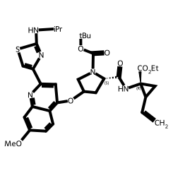 C=CC1C[C@]1(NC(=O)[C@@H]1CC(Oc2cc(-c3csc(NC(C)C)n3)nc3cc(OC)ccc23)CN1C(=O)OC(C)(C)C)C(=O)OCC